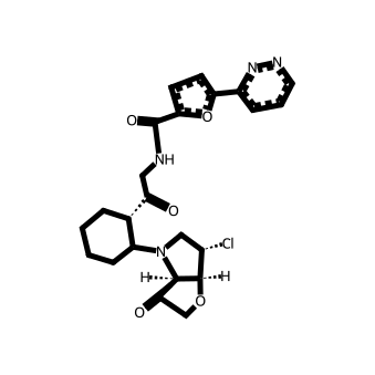 O=C(NCC(=O)[C@H]1CCCCC1N1C[C@H](Cl)[C@H]2OCC(=O)[C@H]21)c1ccc(-c2cccnn2)o1